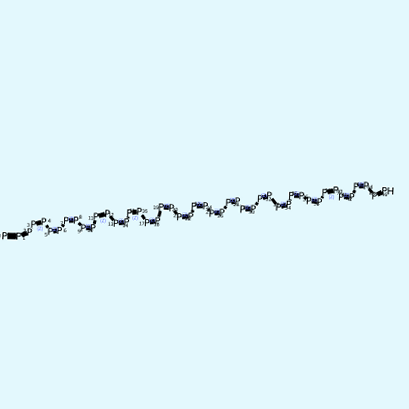 P#P=P\P=P/P=P\P=P/P=P\P=P/P=P\P=P/P=P\P=P/P=P\P=P/P=P\P=P/P=P\P=P/P=P\P=P/P=P\P=P/P=P\P=P/P=P